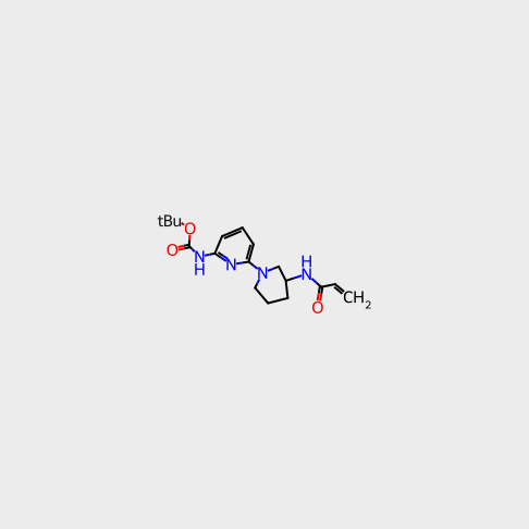 C=CC(=O)NC1CCCN(c2cccc(NC(=O)OC(C)(C)C)n2)C1